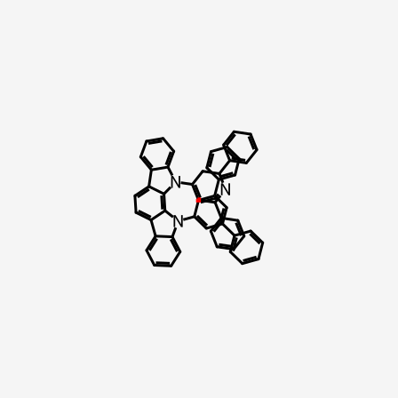 C1=C(n2c3ccccc3c3ccc4c5ccccc5n(-c5cc(-c6ccccc6)cc(-c6ccccc6)c5)c4c32)CC(c2ccccc2)N=C1c1ccccc1